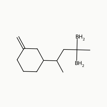 BC(B)(C)CC(C)C1CCCC(=C)C1